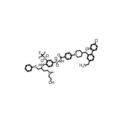 CN(CCO)CCC(CSc1ccccc1)Nc1ccc(S(=O)(=O)NC(=O)c2ccc(N3CCC([C@H](O)c4cc(CN)ccc4-c4ccc(Cl)cc4)CC3)cc2)cc1S(=O)(=O)C(F)(F)F